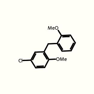 COc1ccccc1Cc1cc(Cl)ccc1OC